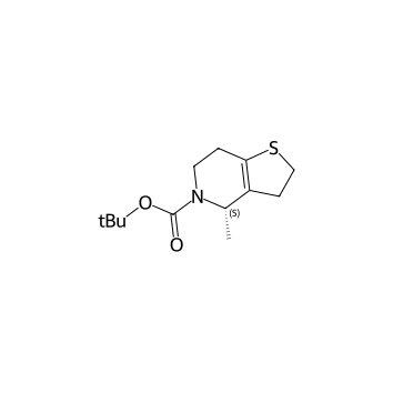 C[C@H]1C2=C(CCN1C(=O)OC(C)(C)C)SCC2